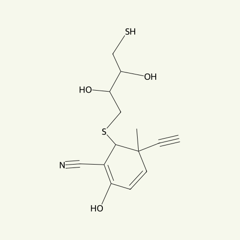 C#CC1(C)C=CC(O)=C(C#N)C1SCC(O)C(O)CS